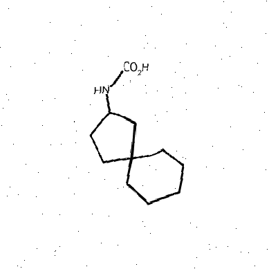 O=C(O)NC1CCC2(CCCCC2)C1